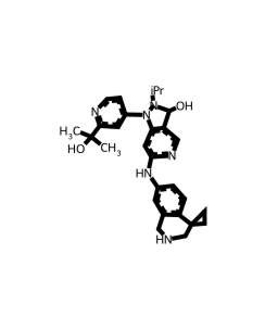 CC(C)N1C(O)c2cnc(Nc3ccc4c(c3)CNCC43CC3)cc2N1c1ccnc(C(C)(C)O)c1